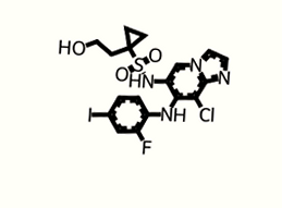 O=S(=O)(Nc1cn2ccnc2c(Cl)c1Nc1ccc(I)cc1F)C1(CCO)CC1